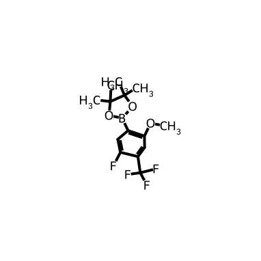 COc1cc(C(F)(F)F)c(F)cc1B1OC(C)(C)C(C)(C)O1